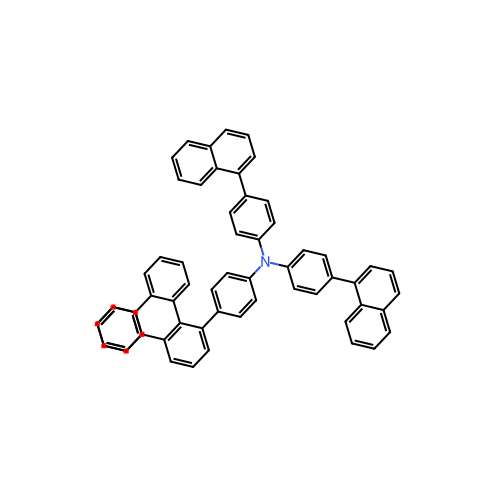 c1ccc(-c2ccccc2-c2c(-c3ccccc3)cccc2-c2ccc(N(c3ccc(-c4cccc5ccccc45)cc3)c3ccc(-c4cccc5ccccc45)cc3)cc2)cc1